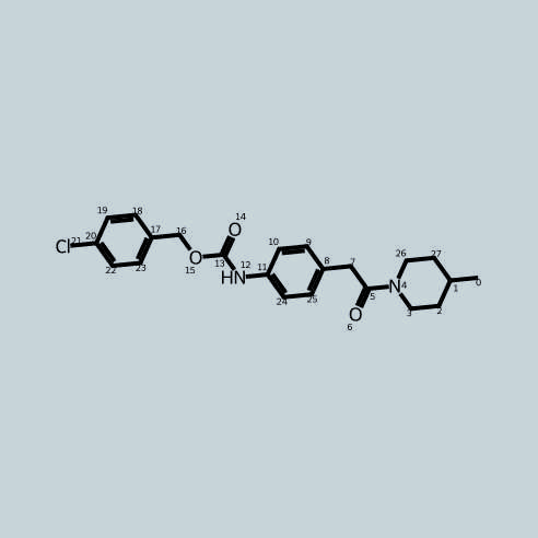 CC1CCN(C(=O)Cc2ccc(NC(=O)OCc3ccc(Cl)cc3)cc2)CC1